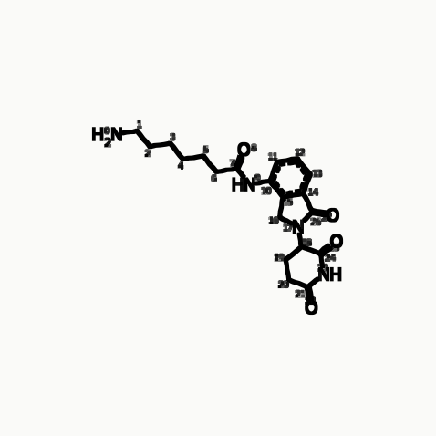 NCCCCCCC(=O)Nc1cccc2c1CN(C1CCC(=O)NC1=O)C2=O